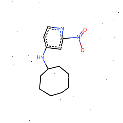 O=[N+]([O-])c1cc(NC2CCCCCCC2)ccn1